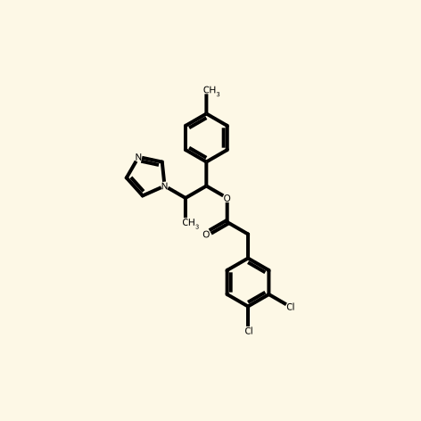 Cc1ccc(C(OC(=O)Cc2ccc(Cl)c(Cl)c2)C(C)n2ccnc2)cc1